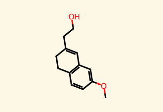 COc1ccc2c(c1)C=C(CCO)CC2